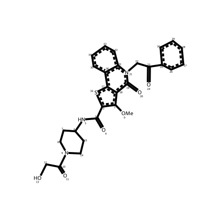 COc1c(C(=O)NC2CCN(C(=O)CO)CC2)sc2c1c(=O)n(CC(=O)c1ccccc1)c1ccccc21